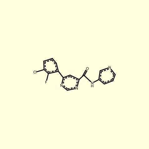 O=C(Nc1cccnc1)c1cc(-c2cccc(Cl)c2F)ncn1